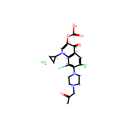 CC(=O)CN1CCN(c2c(Cl)cc3c(=O)c(OC(=O)O)cn(C4CC4)c3c2F)CC1.Cl